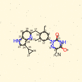 Cc1cc(-n2nc(C#N)c(=O)[nH]c2=O)cc(C)c1Cc1ccc2[nH]cc(C3CC3)c2n1